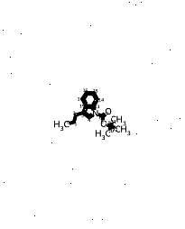 CCCc1cn(C(=O)OC(C)(C)C)c2ccccc12